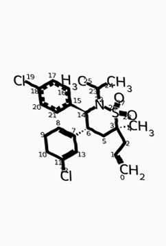 C=CC[C@@]1(C)C[C@H](C2=CCCC(Cl)=C2)[C@@H](c2ccc(Cl)cc2)N(C(C)C)S1(=O)=O